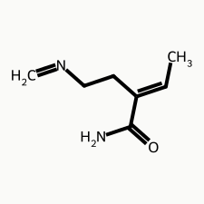 C=NCC/C(=C\C)C(N)=O